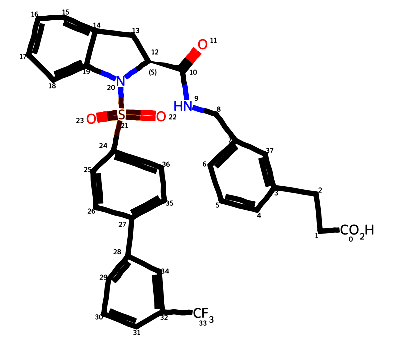 O=C(O)CCc1cccc(CNC(=O)[C@@H]2Cc3ccccc3N2S(=O)(=O)c2ccc(-c3cccc(C(F)(F)F)c3)cc2)c1